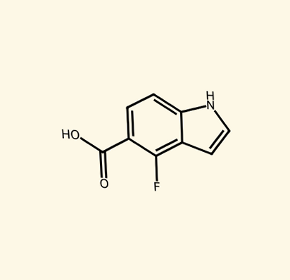 O=C(O)c1ccc2[nH]ccc2c1F